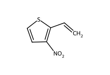 C=Cc1sccc1[N+](=O)[O-]